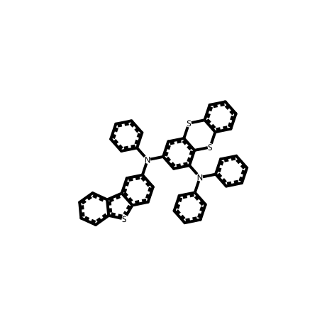 c1ccc(N(c2cc3c(c(N(c4ccccc4)c4ccccc4)c2)Sc2ccccc2S3)c2ccc3sc4ccccc4c3c2)cc1